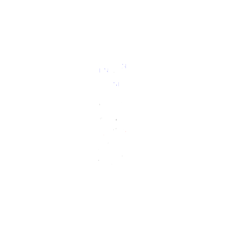 N=C(N)NCC1CCC(C(=O)OC2CCCCC2)CC1